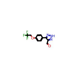 O=Cc1n[nH]nc1-c1ccc(OCC(F)(F)F)cc1